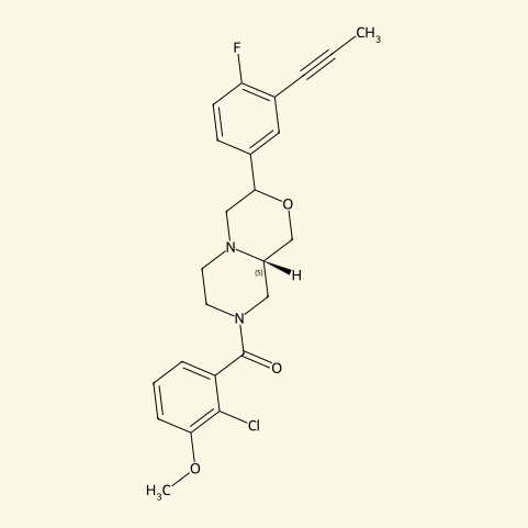 CC#Cc1cc(C2CN3CCN(C(=O)c4cccc(OC)c4Cl)C[C@H]3CO2)ccc1F